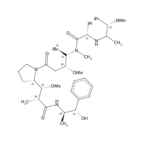 CC[C@H](C)[C@@H]([C@@H](CC(=O)N1CCC[C@H]1[C@H](OC)[C@@H](C)C(=O)N[C@H](C)[C@@H](O)c1ccccc1)OC)N(C)C(=O)[C@@H](NC(C)[C@@H](NC)C(C)C)C(C)C